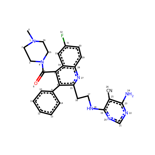 CN1CCN(C(=O)c2c(-c3ccccc3)c(CCNc3ncnc(N)c3C#N)nc3ccc(F)cc23)CC1